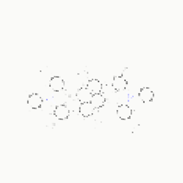 CC(C)c1ccc2c(c1)N(c1ccccc1)c1cc(C(C)C)cc3c1B2c1cc2c(C(C)C)cc4c5c(cc6c(C(C)C)cc-3c1c6c25)B1c2ccc(C(C)C)cc2N(c2ccccc2)c2cc(C(C)C)cc-4c21